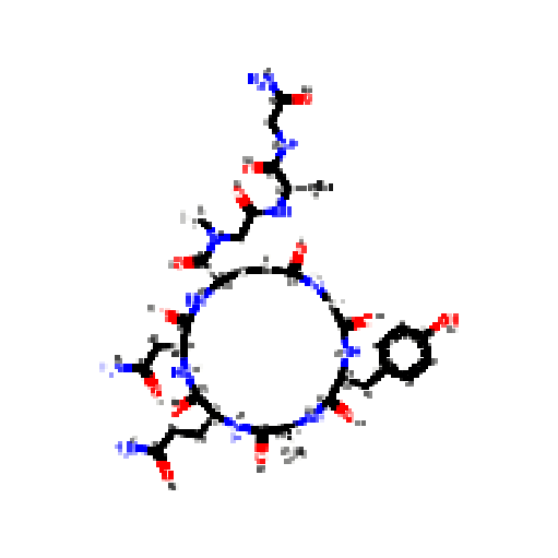 CCCC[C@H](NC(=O)CN(C)C(=O)[C@@H]1CCC(=O)NCC(=O)N[C@@H](Cc2ccc(O)cc2)C(=O)N[C@@H]([C@@H](C)CC)C(=O)N[C@@H](CCC(N)=O)C(=O)N[C@@H](CC(N)=O)C(=O)N1)C(=O)NCC(N)=O